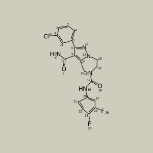 NC(=O)c1c(-c2cccc(Cl)c2)nn2c1CN(C(=O)Nc1ccc(F)c(F)c1)CC2